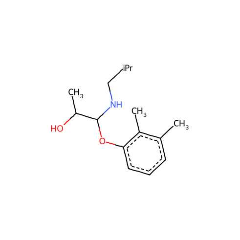 Cc1cccc(OC(NCC(C)C)C(C)O)c1C